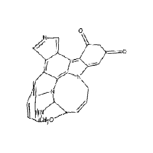 CNC1C2/C=C\Cn3c4c(c5c6c(c7c8ccc(cc8n1c7c53)O2)C=NC=6)C(=O)CC(=O)C=4